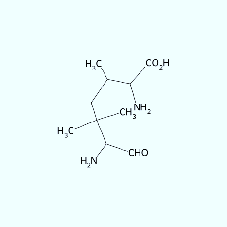 CC(CC(C)(C)C(N)C=O)C(N)C(=O)O